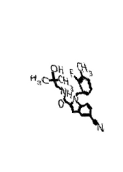 Cc1cccc(Cn2c(C(=O)NCC(C)(C)CO)cc3cc(C#N)ccc32)c1F